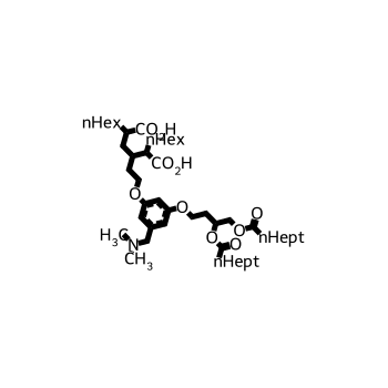 CCCCCCCC(=O)OCC(CCOc1cc(CN(C)C)cc(OCCC(CC(CCCCCC)C(=O)O)C(CCCCCC)C(=O)O)c1)OC(=O)CCCCCCC